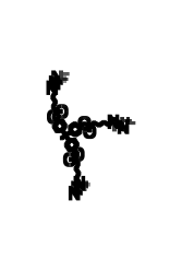 CC(c1ccc(OC(=O)CCCCN=[N+]=[N-])cc1)(c1ccc(OC(=O)CCCCN=[N+]=[N-])cc1)c1ccc(OC(=O)CCCCN=[N+]=[N-])cc1